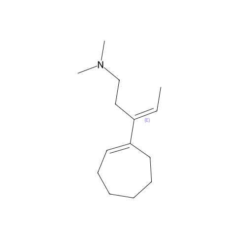 C/C=C(\CCN(C)C)C1=CCCCCC1